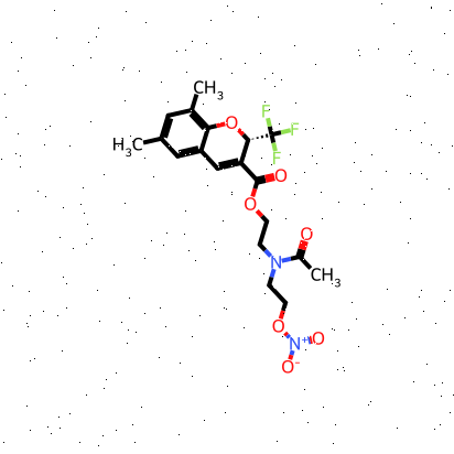 CC(=O)N(CCOC(=O)C1=Cc2cc(C)cc(C)c2O[C@@H]1C(F)(F)F)CCO[N+](=O)[O-]